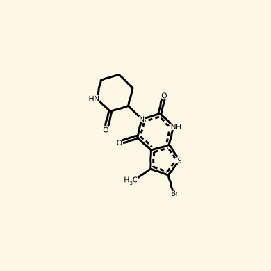 Cc1c(Br)sc2[nH]c(=O)n(C3CCCNC3=O)c(=O)c12